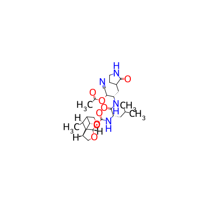 CC(=O)OC(C#N)[C@H](CC1CCNC1=O)NC(=O)[C@H](CC(C)C)NC(=O)O[C@H]1C2CO[C@@H]3OC[C@@H]1C3[C@H]2C